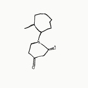 CC1CCCCC1N1CCC(=O)CC1=O